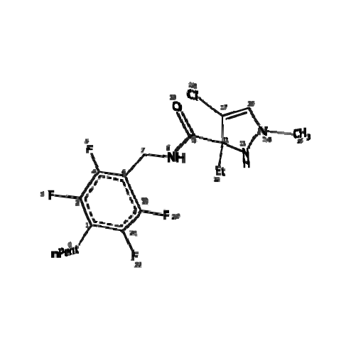 CCCCCc1c(F)c(F)c(CNC(=O)C2(CC)NN(C)C=C2Cl)c(F)c1F